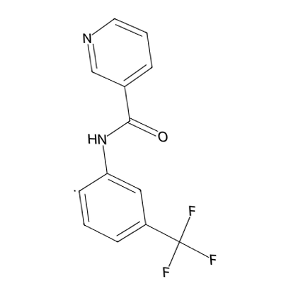 O=C(Nc1[c]ccc(C(F)(F)F)c1)c1cccnc1